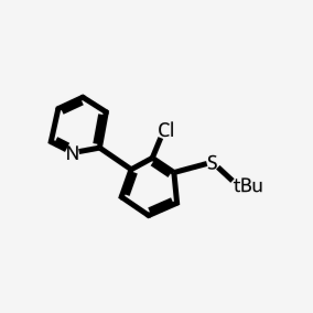 CC(C)(C)Sc1cccc(-c2ccccn2)c1Cl